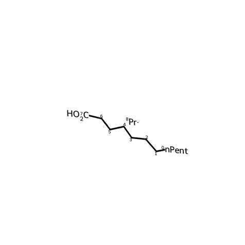 CCCCCCCCCCCC(=O)O.[Pr]